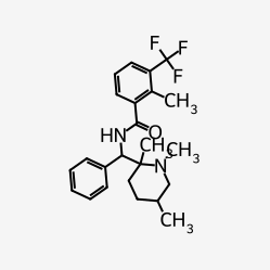 Cc1c(C(=O)NC(c2ccccc2)C2(C)CCC(C)CN2C)cccc1C(F)(F)F